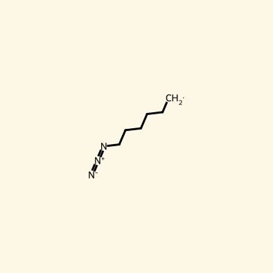 [CH2]CCCCCN=[N+]=[N-]